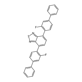 Fc1cc(-c2ccccc2)ccc1-c1ccc(-c2ccc(-c3ccccc3)cc2F)c2nsnc12